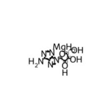 Nc1ncnc2c1ncn2[C@@H]1O[C@H](CO)[C@@H](O)[C@H]1O.[MgH2]